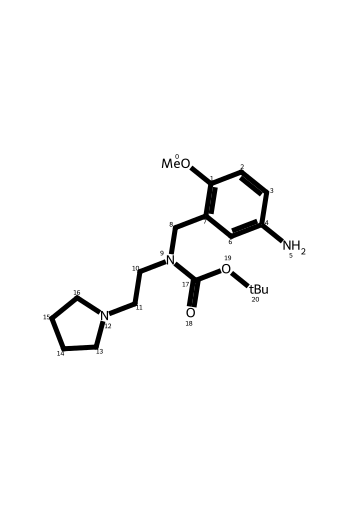 COc1ccc(N)cc1CN(CCN1CCCC1)C(=O)OC(C)(C)C